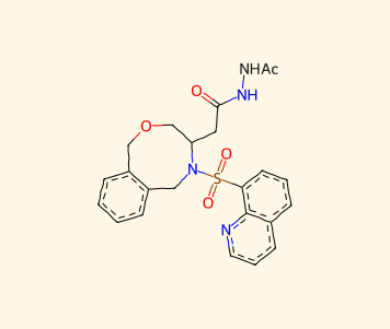 CC(=O)NNC(=O)CC1COCc2ccccc2CN1S(=O)(=O)c1cccc2cccnc12